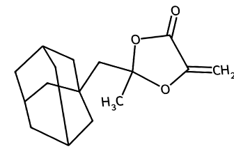 C=C1OC(C)(CC23CC4CC(CC(C4)C2)C3)OC1=O